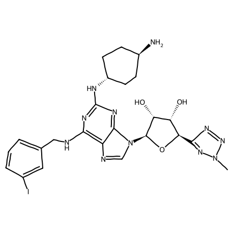 Cn1nnc([C@H]2O[C@@H](n3cnc4c(NCc5cccc(I)c5)nc(N[C@H]5CC[C@H](N)CC5)nc43)[C@H](O)[C@@H]2O)n1